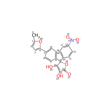 Cc1ccc(-c2ccc(C3(c4ccc([N+](=O)[O-])cc4)OC(=O)C(O)=C3O)cc2)o1